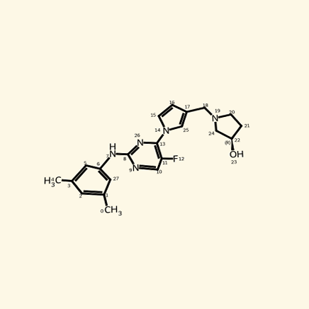 Cc1cc(C)cc(Nc2ncc(F)c(-n3ccc(CN4CC[C@@H](O)C4)c3)n2)c1